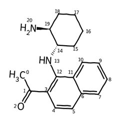 CC(=O)c1ccc2ccccc2c1N[C@H]1CCCC[C@@H]1N